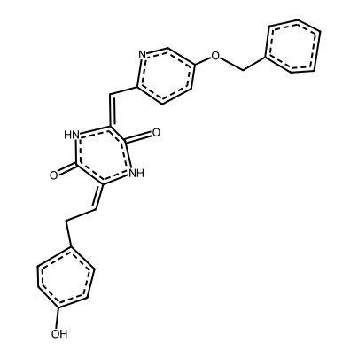 O=c1[nH]c(=Cc2ccc(OCc3ccccc3)cn2)c(=O)[nH]c1=CCc1ccc(O)cc1